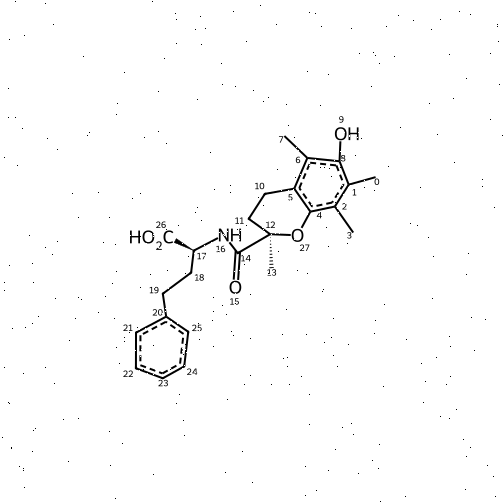 Cc1c(C)c2c(c(C)c1O)CC[C@](C)(C(=O)N[C@@H](CCc1ccccc1)C(=O)O)O2